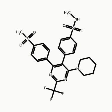 CNS(=O)(=O)c1ccc(-c2c(-c3ccc(S(C)(=O)=O)cc3)nc(C(F)(F)F)nc2N2CCCCC2)cc1